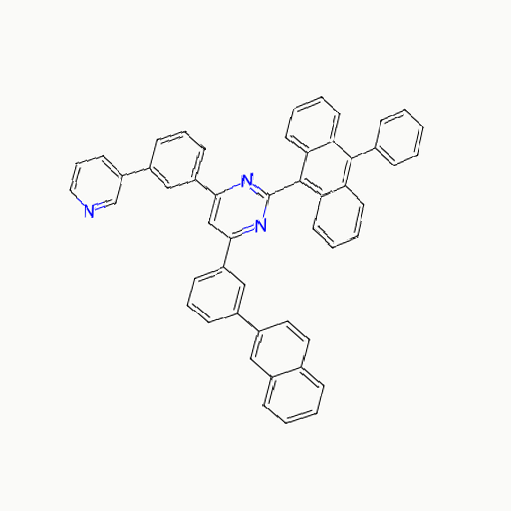 c1ccc(-c2c3ccccc3c(-c3nc(-c4cccc(-c5cccnc5)c4)cc(-c4cccc(-c5ccc6ccccc6c5)c4)n3)c3ccccc23)cc1